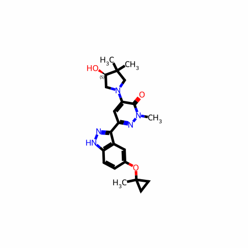 Cn1nc(-c2n[nH]c3ccc(OC4(C)CC4)cc23)cc(N2C[C@@H](O)C(C)(C)C2)c1=O